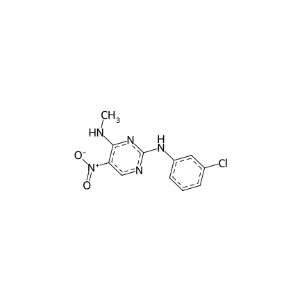 CNc1nc(Nc2cccc(Cl)c2)ncc1[N+](=O)[O-]